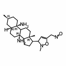 C[C@H]1CC[C@]2(N)C3CC[C@]4(C)C(C5C=C(CN=O)ON5C)CCC4[C@]3(N)CC[C@@H]2C1